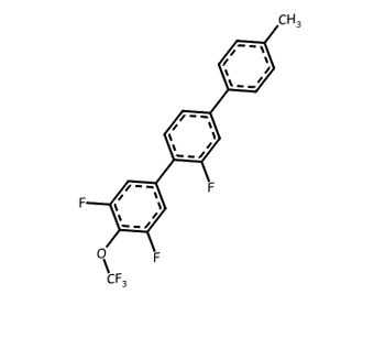 Cc1ccc(-c2ccc(-c3cc(F)c(OC(F)(F)F)c(F)c3)c(F)c2)cc1